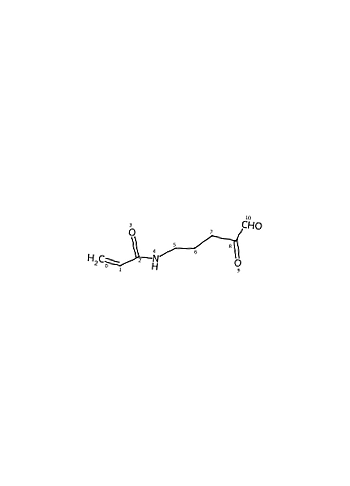 C=CC(=O)NCCCC(=O)C=O